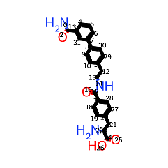 NC(=O)c1cccc(-c2ccc(CCNC(=O)c3ccc(C[C@H](N)C(=O)O)cc3)cc2)c1